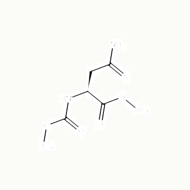 CC(C)(C)OC(=O)N[C@@H](CC(N)=S)C(=O)OC(C)(C)C